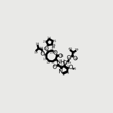 COc1ccnc(C(=O)N[C@H]2CCC[C@H](OCC(C)C)[C@@H](OC3CCCC3)[C@H](C)OC2=O)c1OCOC(=O)C(C)C